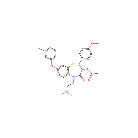 COc1ccc(C2Sc3cc(Oc4cccc(C)c4)ccc3N(CCN(C)C)C(=O)C2OC(C)=O)cc1